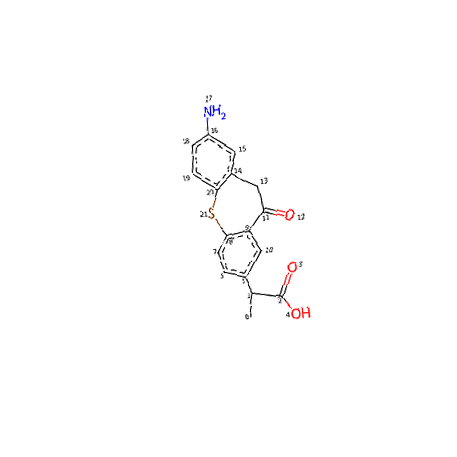 CC(C(=O)O)c1ccc2c(c1)C(=O)Cc1cc(N)ccc1S2